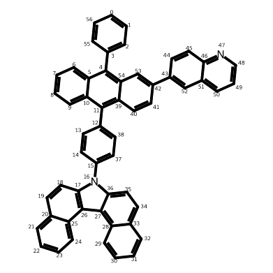 c1ccc(-c2c3ccccc3c(-c3ccc(-n4c5ccc6ccccc6c5c5c6ccccc6ccc54)cc3)c3ccc(-c4ccc5ncccc5c4)cc23)cc1